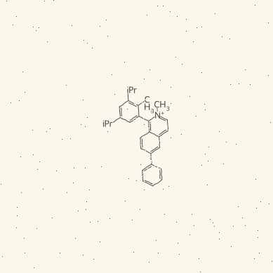 Cc1c(-c2c3ccc(-c4ccccc4)cc3cc[n+]2C)cc(C(C)C)cc1C(C)C